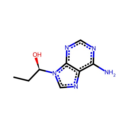 CC[C@@H](O)n1cnc2c(N)ncnc21